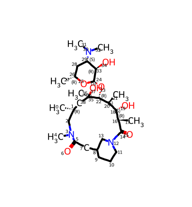 C[C@H]1CN(C)C(=O)CC2CCCN(C2)C(=O)[C@H](C)[C@@H](O)[C@H](C)[C@@H](O[C@@H]2O[C@H](C)C[C@H](N(C)C)[C@H]2O)[C@](C)(O)C1